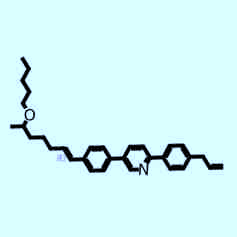 C=CCc1ccc(-c2ccc(-c3ccc(/C=C/CCCC(C)OCCCCC)cc3)cn2)cc1